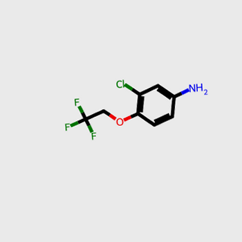 Nc1ccc(OCC(F)(F)F)c(Cl)c1